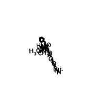 CC(C)(C)OC(=O)NC(Cc1ccccc1)C(=O)NCCOCCOCCOCCN=[N+]=[N-]